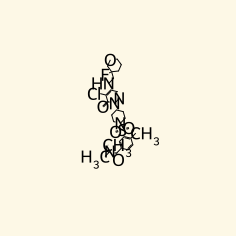 Cc1ccc(C(=O)N(C)C)cc1S(=O)(=O)N1CCC(n2ncc(NC[C@@]3(F)CCCOC3)c(Cl)c2=O)CC1